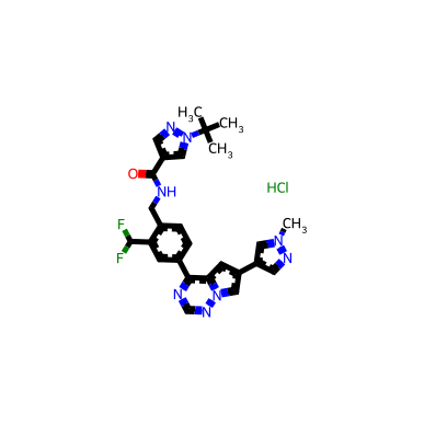 Cl.Cn1cc(-c2cc3c(-c4ccc(CNC(=O)c5cnn(C(C)(C)C)c5)c(C(F)F)c4)ncnn3c2)cn1